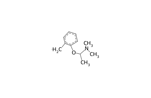 [CH2]c1ccccc1OC(C)N(C)C